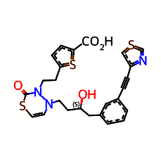 O=C(O)c1ccc(CCN2C(=O)SC=CN2CC[C@@H](O)Cc2cccc(C#Cc3cscn3)c2)s1